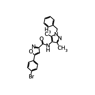 Cc1nn(Cc2ccccc2)c(C)c1NC(=O)c1cc(-c2ccc(Br)cc2)on1